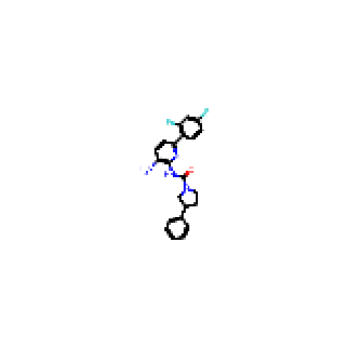 Nc1ccc(-c2ccc(F)cc2F)nc1NC(=O)N1CCC(c2ccccc2)C1